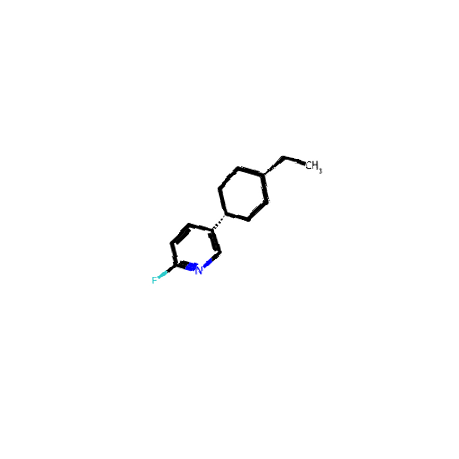 CC[C@H]1CC[C@H](c2ccc(F)nc2)CC1